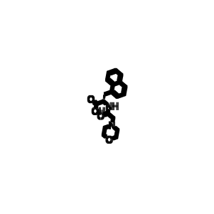 O=C(CN1CCOCC1)N[C@@H](Cc1cccc2ccccc12)C(=O)O